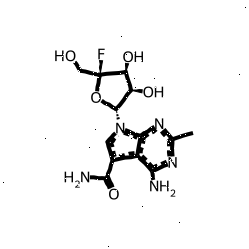 Cc1nc(N)c2c(C(N)=O)cn([C@@H]3O[C@](F)(CO)[C@@H](O)[C@H]3O)c2n1